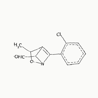 CC1ON2C(c3ccccc3Cl)=C1C2[C]=O